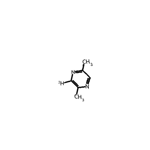 [2H]c1nc(C)cnc1C